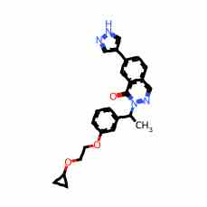 CC(c1cccc(OCCOC2CC2)c1)n1ncc2ccc(-c3cn[nH]c3)cc2c1=O